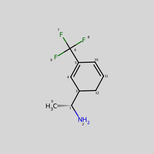 C[C@@H](N)C1C=C(C(F)(F)F)C=CC1